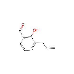 C=CCc1cccc(C=O)c1O